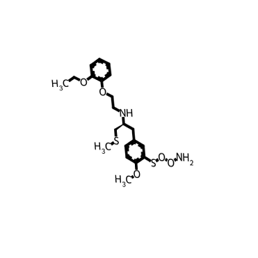 CCOc1ccccc1OCCN[C@H](CSC)Cc1ccc(OC)c(SOON)c1